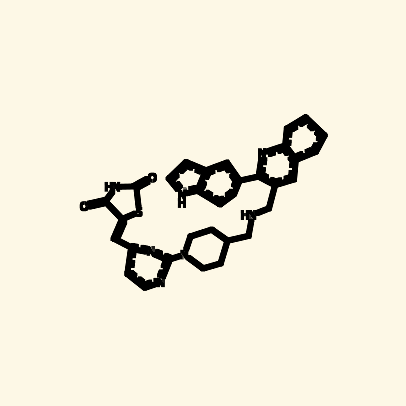 O=C1NC(=O)C(=Cc2ccnc(N3CCC(CNCc4cc5ccccc5nc4-c4ccc5[nH]ccc5c4)CC3)n2)S1